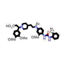 COc1cc(N(CCC2CCN(C(CC(=O)O)c3ccc(OC)c(OC)c3)CC2)C(C)=O)ccc1NC(=O)Nc1ccccc1C